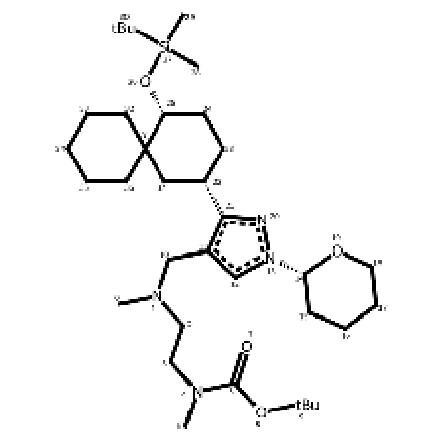 CN(CCN(C)C(=O)OC(C)(C)C)Cc1cn([C@H]2CCCCO2)nc1[C@H]1CC[C@@H](O[Si](C)(C)C(C)(C)C)C2(CCCCC2)C1